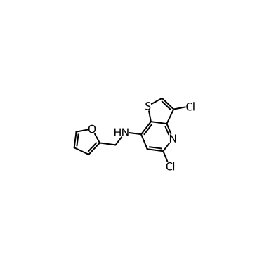 Clc1cc(NCc2ccco2)c2scc(Cl)c2n1